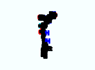 CCn1c2ccc(CNCCCCCNC(=O)COc3ccc(CCc4nc5cc(-c6c(C)noc6C)ccc5n4CCN4CCOCC4)cc3F)cc2c2ccc(-c3cc(C)cs3)cc21